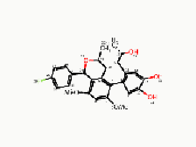 COc1cc(OC)c2c(c1-c1cc(O)c(O)cc1C[C@H](C)O)C[C@H](C)O[C@@H]2c1ccc(F)cc1